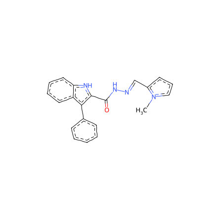 Cn1cccc1C=NNC(=O)c1[nH]c2ccccc2c1-c1ccccc1